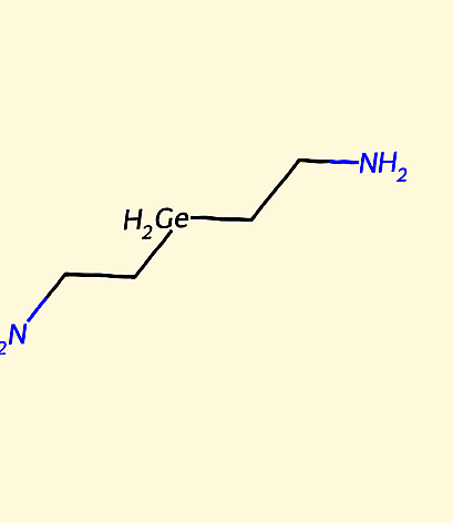 NC[CH2][GeH2][CH2]CN